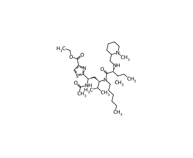 CCCCCCN(C(=O)[C@@H](NCC1CCCCN1C)[C@@H](C)CC)[C@H](C[C@@H](NC(C)=O)c1nc(C(=O)OCC)cs1)C(C)C